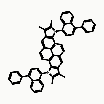 Cc1c(C)n(-c2ccc(-c3ccccc3)c3ccccc23)c2c1cc1ccc3c4c(ccc2c14)cc1c(C)c(C)n(-c2ccc(-c4ccccc4)c4ccccc24)c13